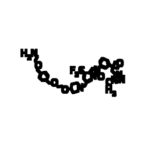 Cn1cnnc1CC1(c2cccc(-n3cc4c(C(F)(F)F)cc(CN5CCC(OCCOCc6ccc(COCCN)cc6)CC5)cn4c3=O)c2)COC1